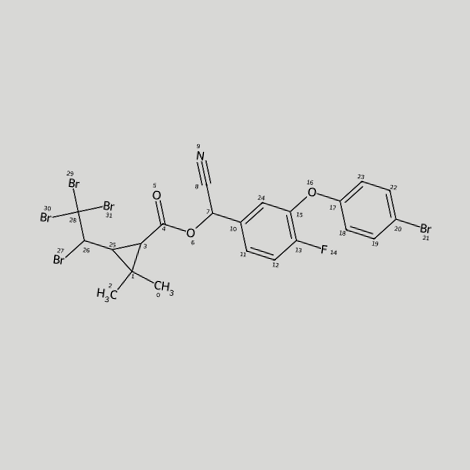 CC1(C)C(C(=O)OC(C#N)c2ccc(F)c(Oc3ccc(Br)cc3)c2)C1C(Br)C(Br)(Br)Br